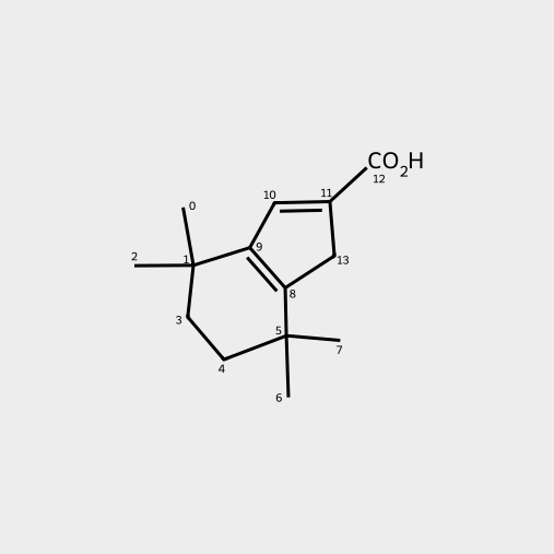 CC1(C)CCC(C)(C)C2=C1C=C(C(=O)O)C2